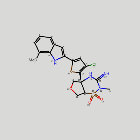 COc1cccc2cc(-c3cc(Cl)c([C@]45COCC4S(=O)(=O)N(C)C(=N)N5)s3)[nH]c12